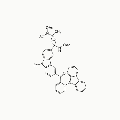 CCn1c2ccc(C(=O)c3ccccc3-n3c4ccccc4c4ccccc43)cc2c2cc(C3(NOC(C)=O)C4C3C4(C)N(OC(C)=O)C(C)=O)ccc21